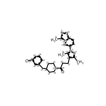 Cc1nn(-c2ccc3nnc(C)n3n2)c(C)c1CCC(=O)N1CCC(Cc2cccc(Cl)c2)CC1